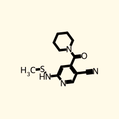 CSNc1cc(C(=O)N2CCCCC2)c(C#N)cn1